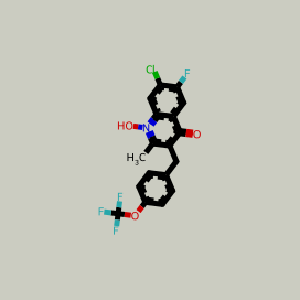 Cc1c(Cc2ccc(OC(F)(F)F)cc2)c(=O)c2cc(F)c(Cl)cc2n1O